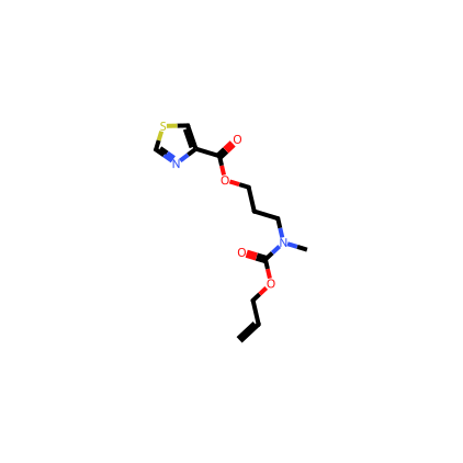 C=CCOC(=O)N(C)CCCOC(=O)c1cscn1